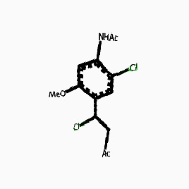 COc1cc(NC(C)=O)c(Cl)cc1C(Cl)CC(C)=O